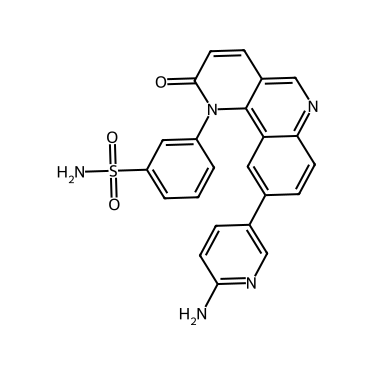 Nc1ccc(-c2ccc3ncc4ccc(=O)n(-c5cccc(S(N)(=O)=O)c5)c4c3c2)cn1